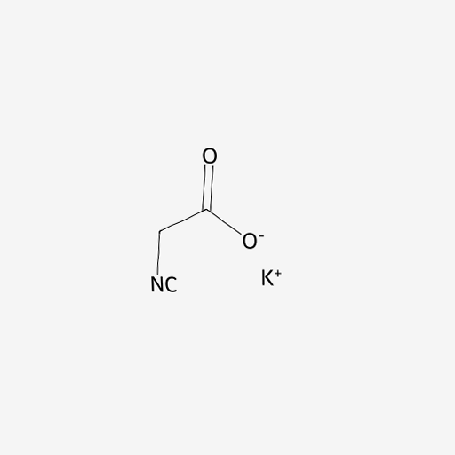 [C-]#[N+]CC(=O)[O-].[K+]